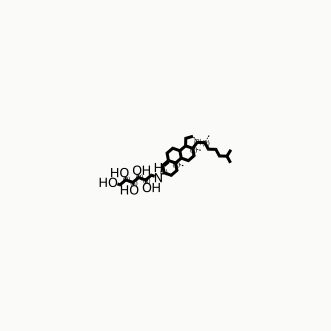 CC(C)CCC[C@@H](C)[C@H]1CCC2C3CCC4=C[C@@H](NC[C@@H](O)[C@@H](O)[C@@H](O)[C@H](O)CO)CC[C@]4(C)C3CC[C@@]21C